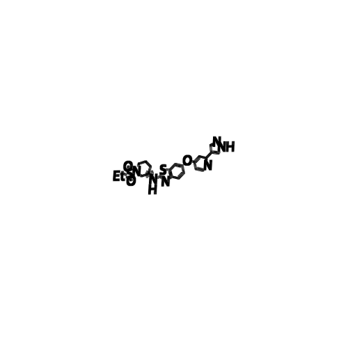 CCS(=O)(=O)N1CCC[C@H](Nc2nc3ccc(Oc4ccnc(-c5cn[nH]c5)c4)cc3s2)C1